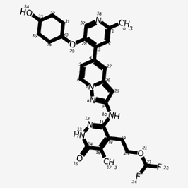 Cc1cc(-c2ccn3nc(Nc4n[nH]c(=O)c(C)c4CCOC(F)F)cc3c2)c(OC2CCC(O)CC2)cn1